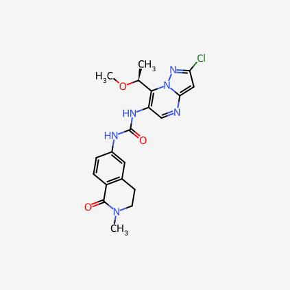 CO[C@@H](C)c1c(NC(=O)Nc2ccc3c(c2)CCN(C)C3=O)cnc2cc(Cl)nn12